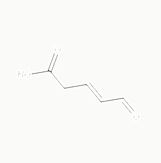 O=CC=CCC(=O)O